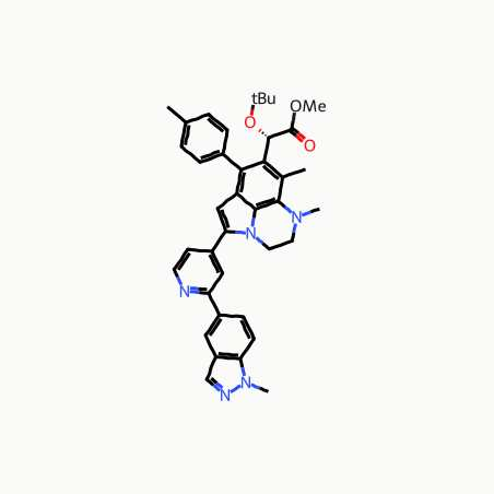 COC(=O)[C@@H](OC(C)(C)C)c1c(C)c2c3c(cc(-c4ccnc(-c5ccc6c(cnn6C)c5)c4)n3CCN2C)c1-c1ccc(C)cc1